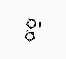 C=C.c1ccsc1.c1ccsc1